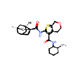 CC1CCCCC1NC(=O)c1c(NC(=O)C23CC4C[C@@H](C[C@@H]2C4)C3)sc2c1CCOC2